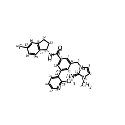 Cn1ccn(Cc2cc(C(=O)N[C@H]3CCc4cc(F)ccc43)cc(-c3cccnc3C(F)(F)F)c2)c1=N